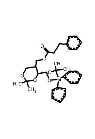 CC1(C)OCC(COC(=O)CCc2ccccc2)C(CO[Si](c2ccccc2)(c2ccccc2)C(C)(C)C)O1